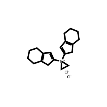 C1=[C]([Ti+2]2([C]3=CC4=C(CCCC4)C3)[CH2][CH2]2)CC2=C1CCCC2.[Cl-].[Cl-]